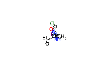 C=C=C(C(=N)/C=C/C=C/C(CC)Cc1ccccc1)N1CCN(C(=O)c2cccc(Cl)c2)CC1(C)I